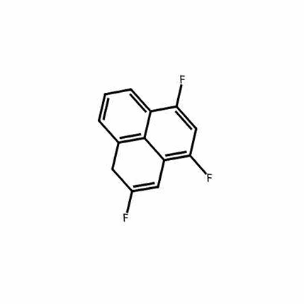 FC1=Cc2c(F)cc(F)c3cccc(c23)C1